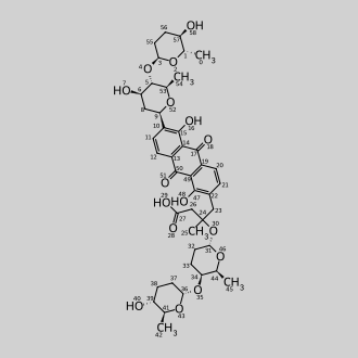 C[C@@H]1O[C@@H](O[C@H]2[C@H](O)C[C@H](c3ccc4c(c3O)C(=O)c3ccc(CC(C)(CC(=O)O)O[C@H]5CC[C@H](O[C@H]6CC[C@@H](O)[C@H](C)O6)[C@H](C)O5)c(O)c3C4=O)O[C@@H]2C)CC[C@H]1O